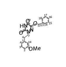 COc1cccc(CCn2nc(OCc3ccccc3)c(=O)[nH]c2=O)c1